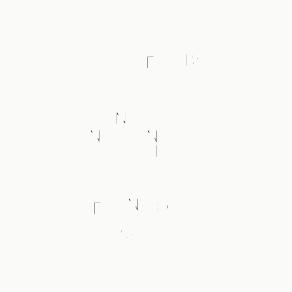 O=[N+]([O-])c1cc2c(Nc3ccc(Br)c(F)c3)ncnc2cc1F